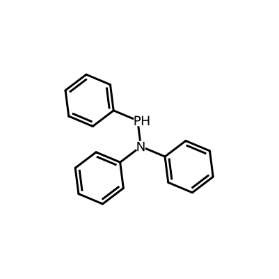 c1ccc(PN(c2ccccc2)c2ccccc2)cc1